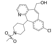 CS(=O)(=O)N1CCC(C2c3ccc(Cl)cc3C=C(CO)c3cccnc32)CC1